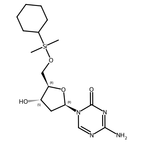 C[Si](C)(OC[C@H]1O[C@@H](n2cnc(N)nc2=O)C[C@@H]1O)C1CCCCC1